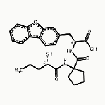 CCC[C@H](S)C(=O)NC1(C(=O)N[C@@H](Cc2ccc3c(c2)oc2ccccc23)C(=O)O)CCCC1